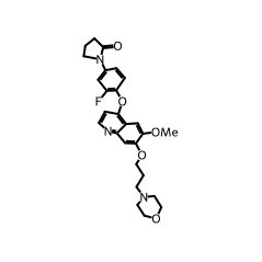 COc1cc2c(Oc3ccc(N4CCCC4=O)cc3F)ccnc2cc1OCCCN1CCOCC1